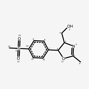 CC1=NC(CO)C(c2ccc(S(C)(=O)=O)cc2)O1